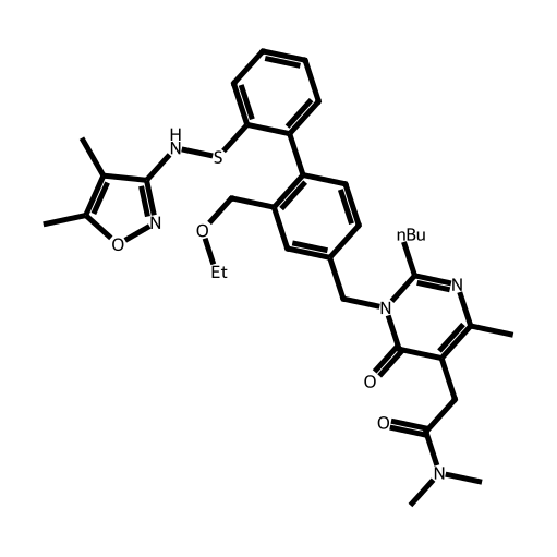 CCCCc1nc(C)c(CC(=O)N(C)C)c(=O)n1Cc1ccc(-c2ccccc2SNc2noc(C)c2C)c(COCC)c1